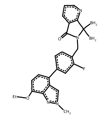 BC1(B)c2ncccc2C(=O)N1Cc1ccc(-c2ccc(OCC)c3nn(C)cc23)cc1F